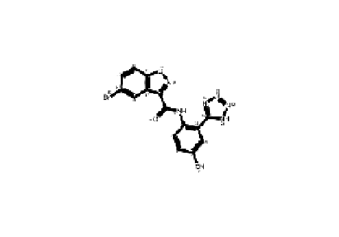 N#Cc1ccc(NC(=O)c2noc3ccc(Br)cc23)c(-c2nnn[nH]2)c1